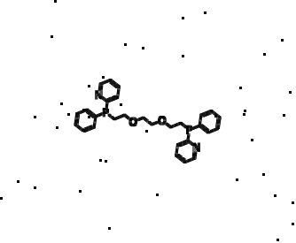 c1ccc(P(CCOCCOCCP(c2ccccc2)c2ccccn2)c2ccccn2)cc1